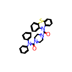 O=C(N1CCN(C(=O)N2c3ccccc3Sc3ccccc32)CC1)N(c1ccccc1)c1ccccc1